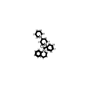 O=C(N1CCCc2ccccc21)C1(N2CCC(N3CCCCC3)CC2)C=CC=CC1